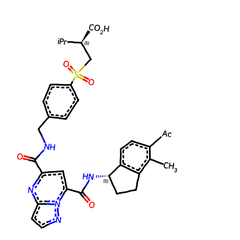 CC(=O)c1ccc2c(c1C)CC[C@@H]2NC(=O)c1cc(C(=O)NCc2ccc(S(=O)(=O)C[C@H](C(=O)O)C(C)C)cc2)nc2ccnn12